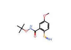 COc1ccc(P=N)c(C(=O)NOC(C)(C)C)c1